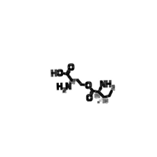 CC[C@H](C)[C@H](N)C(=O)OCC[C@H](N)C(=O)O